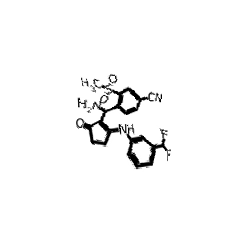 CS(=O)(=O)c1cc(C#N)ccc1C(N)C1=C(Nc2cccc(C(F)F)c2)CCC1=O